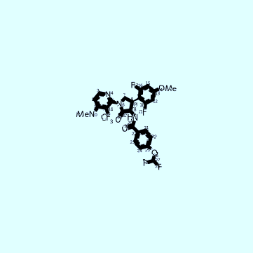 CNc1ccnc(N2C[C@@H](c3c(F)cc(OC)cc3F)C(NC(=O)c3ccc(OC(F)F)cc3)C2=O)c1C(F)(F)F